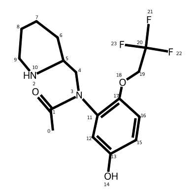 CC(=O)N(CC1CCCCN1)c1cc(O)ccc1OCC(F)(F)F